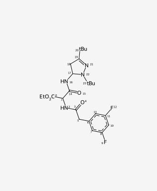 CCOC(=O)C(NC(=O)Cc1cc(F)cc(F)c1)C(=O)NC1CC(C(C)(C)C)=NN1C(C)(C)C